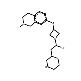 OB1CCc2ccc(OC3CN(C(O)CC4CNCCO4)C3)cc2O1